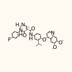 COc1cc2nccc(Oc3ccc(NC(=O)/C(=C/N)C(=O)Nc4ccc(F)cc4)cc3C(C)C)c2cc1OC